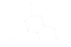 Cl.NNc1c(Cl)c(Cl)cc(Cl)c1Cl